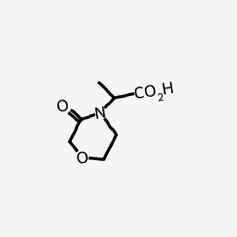 CC(C(=O)O)N1CCOCC1=O